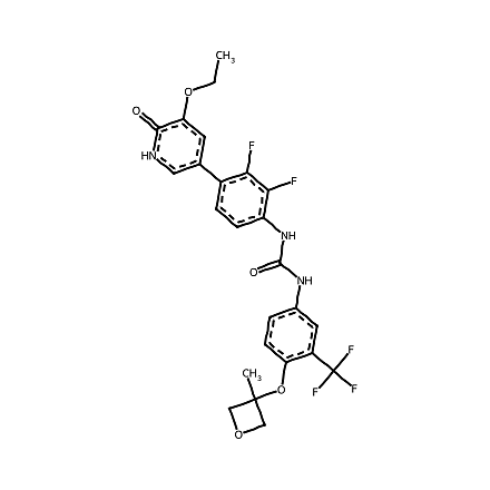 CCOc1cc(-c2ccc(NC(=O)Nc3ccc(OC4(C)COC4)c(C(F)(F)F)c3)c(F)c2F)c[nH]c1=O